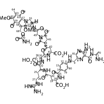 C=C(N)NC(=O)c1nc(CNc2ccc(C(=O)NC(CCC(=O)NC(CCCNC(=N)N)C(=O)N[C@H](CC(=O)O)C(=O)NC(CSC3CC(=O)N(CC(=O)N4C5[C@H]4CN4C6=C(C(=O)C(OC)=C(C)C6=O)C(COC(N)=O)[C@]54OC)C3=O)C(=O)O)C(=O)O)cc2)cnc1N